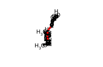 CCOc1cc(-c2ccc(N3CCC(CN(C)C(=O)CCCCCCN4CCN(c5ccc6c(c5)CN(C5CCC(=O)NC5=O)C6=O)CC4)(NC(=O)c4cc(F)ccc4F)CC3)nc2)c2c(C#N)cnn2c1